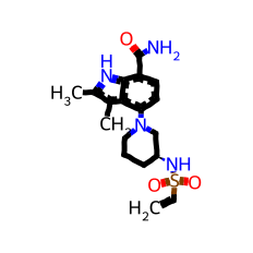 C=CS(=O)(=O)N[C@@H]1CCCN(c2ccc(C(N)=O)c3[nH]c(C)c(C)c23)C1